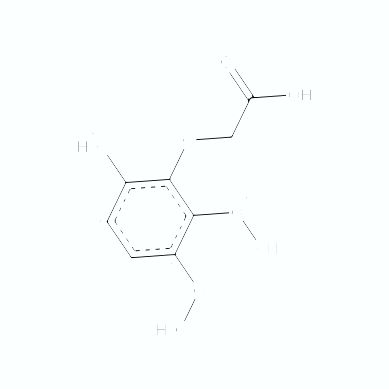 COc1ccc(C)c(OCC(=O)O)c1OC